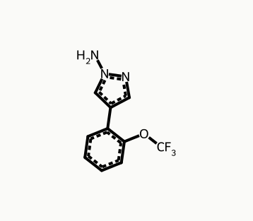 Nn1cc(-c2ccccc2OC(F)(F)F)cn1